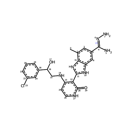 Cc1cc(/C(N)=N/N)cc2[nH]c(-c3c(NCC(O)c4cccc(Cl)c4)cc[nH]c3=O)nc12